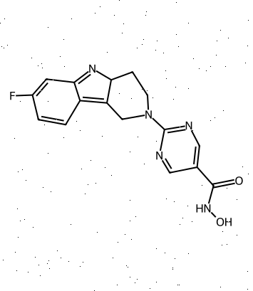 O=C(NO)c1cnc(N2CCC3N=c4cc(F)ccc4=C3C2)nc1